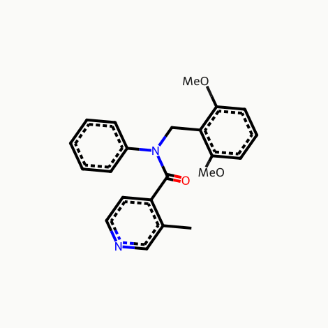 COc1cccc(OC)c1CN(C(=O)c1ccncc1C)c1ccccc1